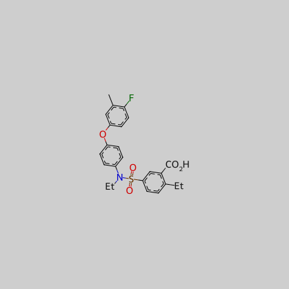 CCc1ccc(S(=O)(=O)N(CC)c2ccc(Oc3ccc(F)c(C)c3)cc2)cc1C(=O)O